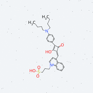 CCCCN(CCCC)c1ccc(C2=C(O)C(=Cc3cc[n+](CCCS(=O)(=O)O)c4ccccc34)C2=O)cc1